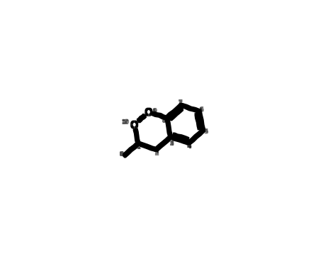 CC1Cc2ccccc2OO1